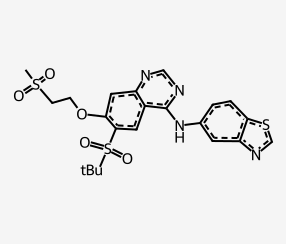 CC(C)(C)S(=O)(=O)c1cc2c(Nc3ccc4scnc4c3)ncnc2cc1OCCS(C)(=O)=O